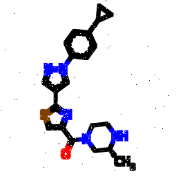 C[C@H]1CN(C(=O)c2csc(-c3cnn(-c4ccc(C5CC5)cc4)c3)n2)CCN1